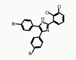 Clc1cccc(-c2nc(-c3ccc(Br)cc3)c(-c3ccc(Br)cc3)[nH]2)c1Cl